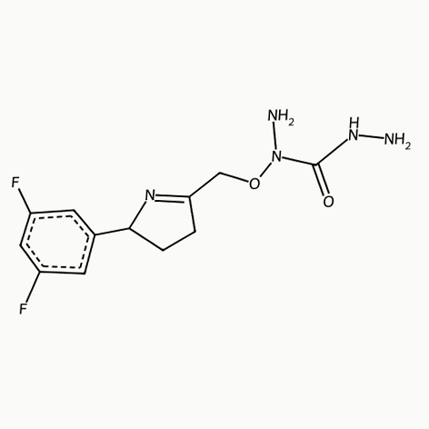 NNC(=O)N(N)OCC1=NC(c2cc(F)cc(F)c2)CC1